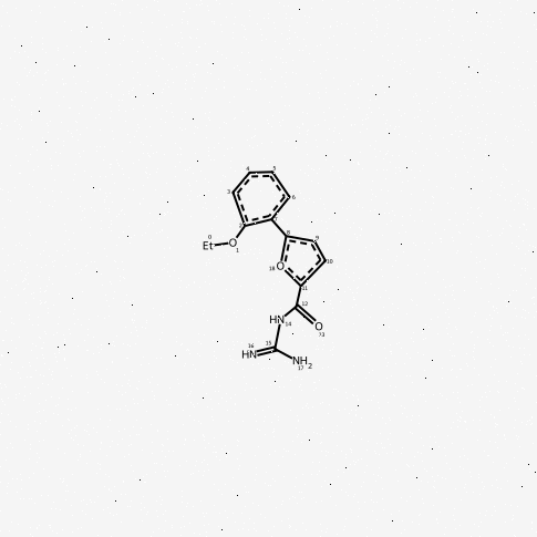 CCOc1ccccc1-c1ccc(C(=O)NC(=N)N)o1